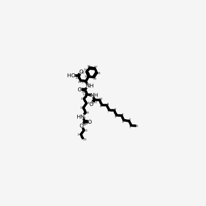 CCCCCCCCCCCC(=O)NC(CCCCNC(=O)OCCC)C(=O)NC(CC(=O)O)c1ccccc1